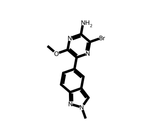 COc1nc(N)c(Br)nc1-c1ccc2nn(C)cc2c1